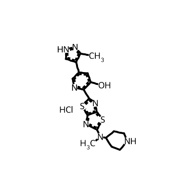 Cc1n[nH]cc1-c1cnc(-c2nc3sc(N(C)C4CCNCC4)nc3s2)c(O)c1.Cl